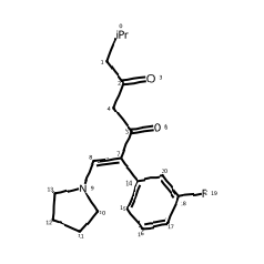 CC(C)CC(=O)CC(=O)/C(=C/N1CCCC1)c1cccc(F)c1